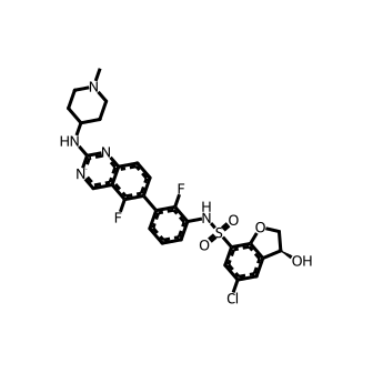 CN1CCC(Nc2ncc3c(F)c(-c4cccc(NS(=O)(=O)c5cc(Cl)cc6c5OC[C@H]6O)c4F)ccc3n2)CC1